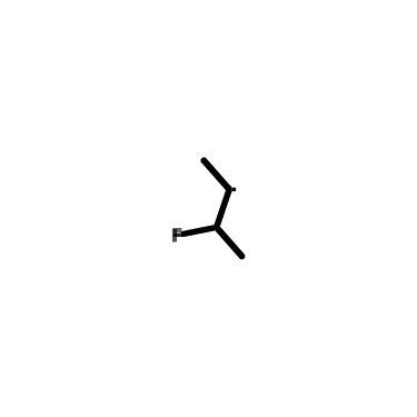 C[CH]C(C)F